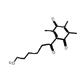 CC(=O)OCCCCCC(=O)C1=C(C)C(=O)C(C)=C(C)C1=O